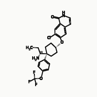 CC[C@@H](N)[C@]1(c2ccc(OC(F)(F)F)cc2)CC[C@@H](Oc2cc3cc[nH]c(=O)c3cc2Cl)CC1